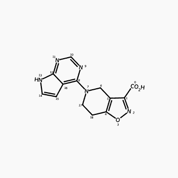 O=C(O)c1noc2c1CN(c1ncnc3[nH]ccc13)CC2